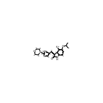 CC(C)Oc1ccc2c(c1F)C(=Cc1cnc(N3CCOCC3)[nH]1)C(=O)N2